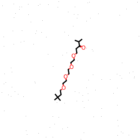 CC(C)C(=O)CCOCCOCCOCCOCCC(C)(C)C